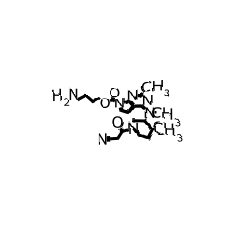 Cc1nc(N(C)[C@H]2CN(C(=O)CC#N)CC[C@H]2C)c2ccn(C(=O)OCCCCN)c2n1